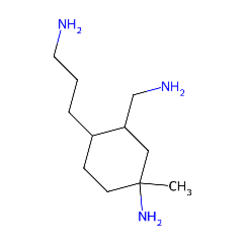 CC1(N)CCC(CCCN)C(CN)C1